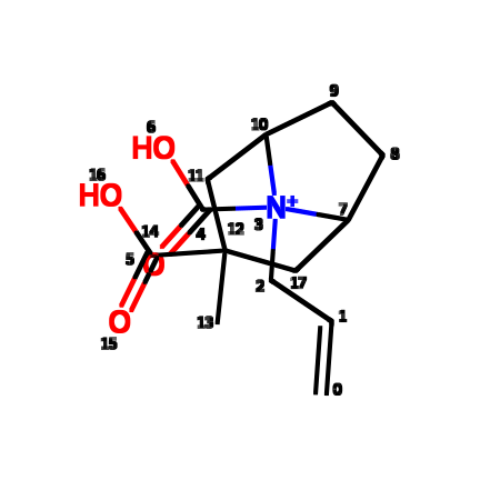 C=CC[N+]1(C(=O)O)C2CCC1CC(C)(C(=O)O)C2